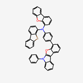 c1ccc(-n2c3ccccc3c3c4cccc(-c5ccc(N(c6cccc7c6oc6ccccc67)c6cccc7c6sc6ccccc67)cc5)c4oc32)cc1